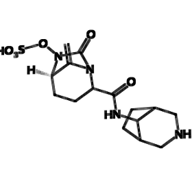 C=C1[C@H]2CCC(C(=O)NC3C4CCC3CNC4)N1C(=O)N2OS(=O)(=O)O